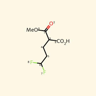 COC(=O)C(CCC(F)F)C(=O)O